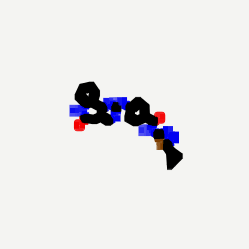 O=C1Cc2cnc(Nc3ccc(C(=O)Nc4nnc(C5CC5)s4)cc3)nc2-c2ccccc2N1